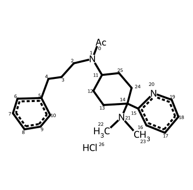 CC(=O)N(CCCc1ccccc1)C1CCC(c2ccccn2)(N(C)C)CC1.Cl